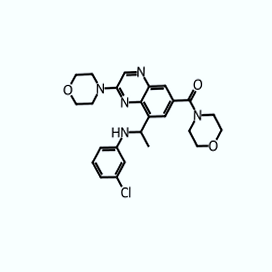 CC(Nc1cccc(Cl)c1)c1cc(C(=O)N2CCOCC2)cc2ncc(N3CCOCC3)nc12